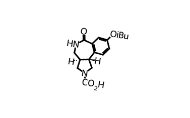 CC(C)COc1ccc2c(c1)C(=O)NC[C@@H]1CN(C(=O)O)C[C@@H]21